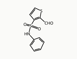 O=Cc1sccc1S(=O)(=O)Nc1ccccc1